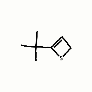 CC(C)(C)C1=CCS1